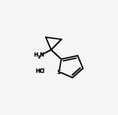 Cl.NC1(c2cccs2)CC1